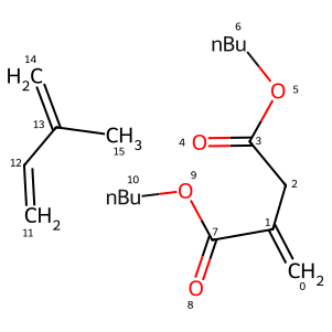 C=C(CC(=O)OCCCC)C(=O)OCCCC.C=CC(=C)C